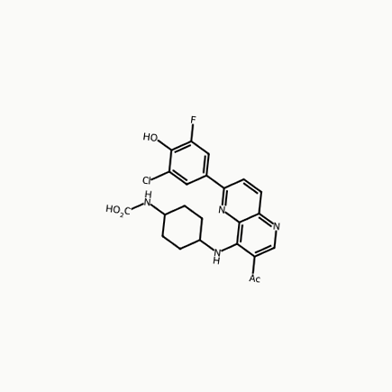 CC(=O)c1cnc2ccc(-c3cc(F)c(O)c(Cl)c3)nc2c1NC1CCC(NC(=O)O)CC1